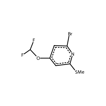 CSc1cc(OC(F)F)cc(Br)n1